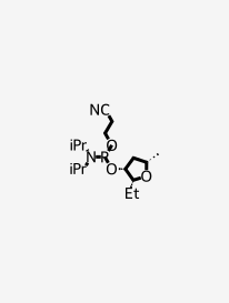 CC[C@H]1O[C@@H](C)C[C@H]1OP(OCCC#N)N(C(C)C)C(C)C